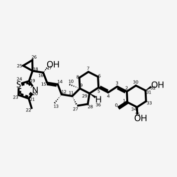 C=C1C(=CC=C2CCC[C@]3(C)[C@@H]([C@H](C)C=C[C@@H](O)C4(c5nc(C)cs5)CC4)CC[C@@H]23)C[C@@H](O)CC1O